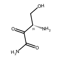 NC(=O)C(=O)[C@@H](N)CO